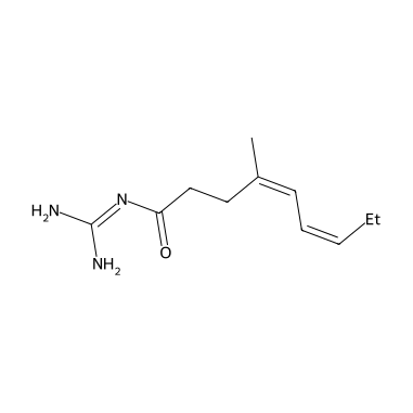 CC/C=C\C=C(\C)CCC(=O)N=C(N)N